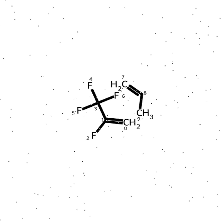 C=C(F)C(F)(F)F.C=CC